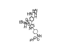 CC(C)OC(=O)NC1CCC(c2ncc(-c3ccc(Nc4nnc[nH]4)cc3S(=O)(=O)NC(C)(C)C)s2)CC1